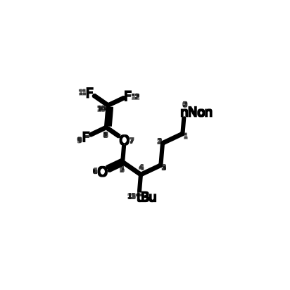 CCCCCCCCCCCCC(C(=O)OC(F)=C(F)F)C(C)(C)C